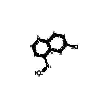 C=Nc1ccnc2ccc(Cl)cc12